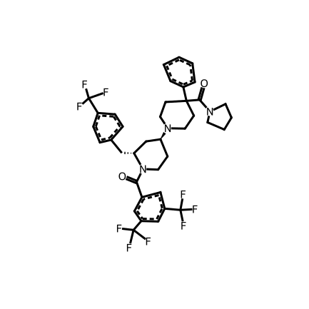 O=C(c1cc(C(F)(F)F)cc(C(F)(F)F)c1)N1CC[C@H](N2CCC(C(=O)N3CCCC3)(c3ccccc3)CC2)C[C@H]1Cc1ccc(C(F)(F)F)cc1